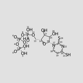 O=P(O)(O)OP(=O)(O)OP(=O)(O)OC[C@H]1O[C@@H](n2ccc(S)nc2=S)C(O)C1O